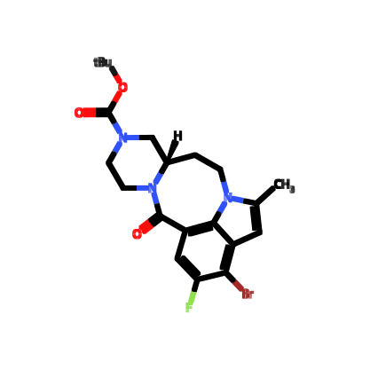 Cc1cc2c(Br)c(F)cc3c2n1CC[C@H]1CN(C(=O)OC(C)(C)C)CCN1C3=O